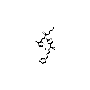 COCCC(=O)N(Cc1scnc1C)c1ncc(C(=O)NCCCn2ccnc2)s1